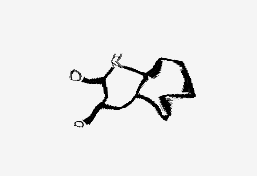 O=C1CC2CC=CC=C2NC1=O